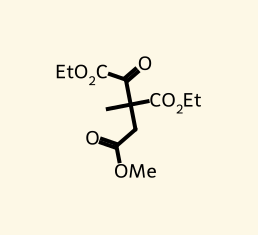 CCOC(=O)C(=O)C(C)(CC(=O)OC)C(=O)OCC